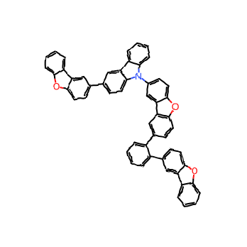 c1ccc(-c2ccc3oc4ccc(-n5c6ccccc6c6cc(-c7ccc8oc9ccccc9c8c7)ccc65)cc4c3c2)c(-c2ccc3oc4ccccc4c3c2)c1